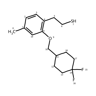 Cc1ccc(CCS)c(OCC2CCC(F)(F)CC2)c1